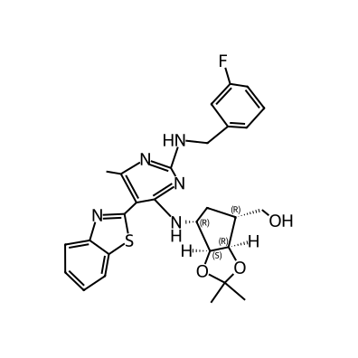 Cc1nc(NCc2cccc(F)c2)nc(N[C@@H]2C[C@H](CO)[C@H]3OC(C)(C)O[C@H]32)c1-c1nc2ccccc2s1